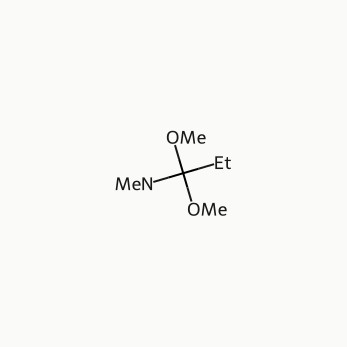 CCC(NC)(OC)OC